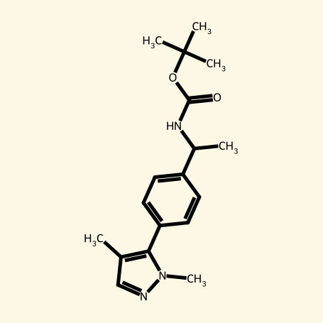 Cc1cnn(C)c1-c1ccc(C(C)NC(=O)OC(C)(C)C)cc1